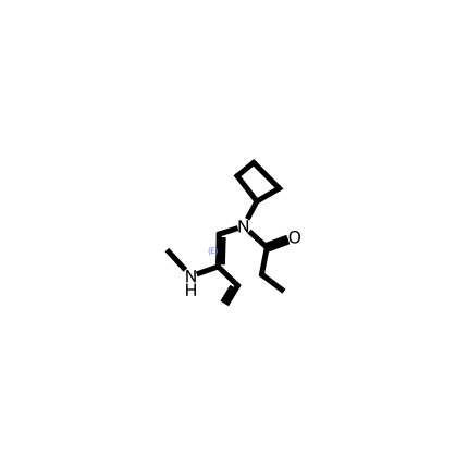 C=C/C(=C\N(C(=O)CC)C1CCC1)NC